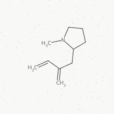 C=CC(=C)CC1CCCN1C